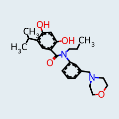 CCCN(C(=O)c1cc(C(C)C)c(O)cc1O)c1cccc(CN2CCOCC2)c1